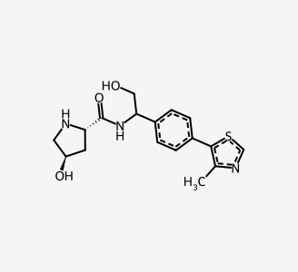 Cc1ncsc1-c1ccc(C(CO)NC(=O)[C@@H]2C[C@@H](O)CN2)cc1